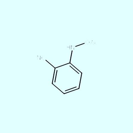 CC(=O)ONc1ccccc1C#N